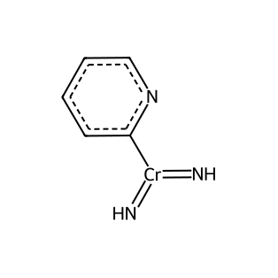 [NH]=[Cr](=[NH])[c]1ccccn1